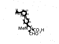 CNC(CN(CC=O)C(=O)O)C1CCN(c2cccc(C3CC3)n2)CC1